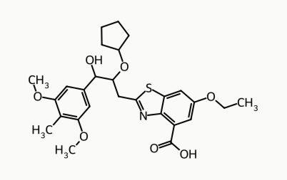 CCOc1cc(C(=O)O)c2nc(CC(OC3CCCC3)C(O)c3cc(OC)c(C)c(OC)c3)sc2c1